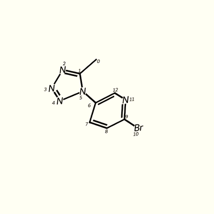 Cc1nnnn1-c1ccc(Br)nc1